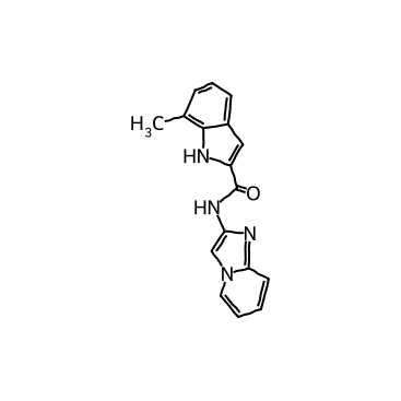 Cc1cccc2cc(C(=O)Nc3cn4ccccc4n3)[nH]c12